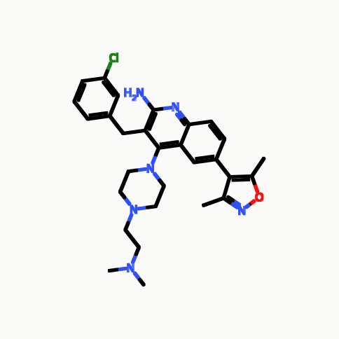 Cc1noc(C)c1-c1ccc2nc(N)c(Cc3cccc(Cl)c3)c(N3CCN(CCN(C)C)CC3)c2c1